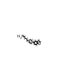 NCCCCN1CCN(c2ccc3c(c2)CCO3)CC1